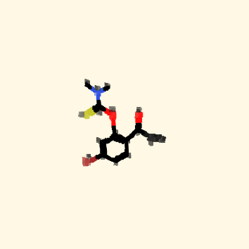 COC(=O)c1ccc(Br)cc1OC(=S)N(C)C